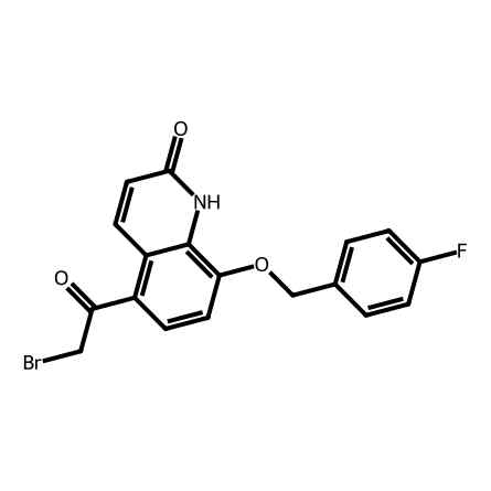 O=C(CBr)c1ccc(OCc2ccc(F)cc2)c2[nH]c(=O)ccc12